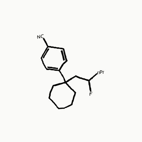 CCCC(F)CC1(c2ccc(C#N)cc2)CCCCC1